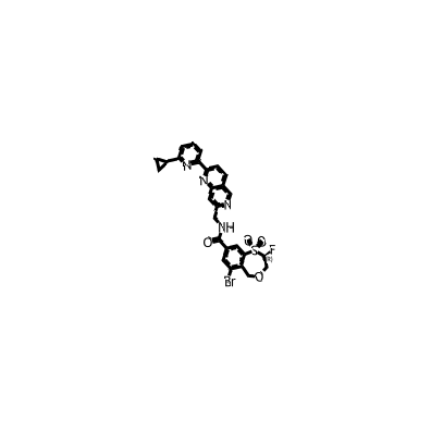 O=C(NCc1cc2nc(-c3cccc(C4CC4)n3)ccc2cn1)c1cc(Br)c2c(c1)S(=O)(=O)[C@@H](F)COC2